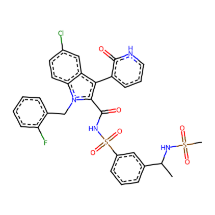 CC(NS(C)(=O)=O)c1cccc(S(=O)(=O)NC(=O)c2c(-c3ccc[nH]c3=O)c3cc(Cl)ccc3n2Cc2ccccc2F)c1